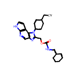 N#CCC1CCC(n2c(COC(=O)NCC3CCCCC3)nc3cnc4[nH]ccc4c32)CC1